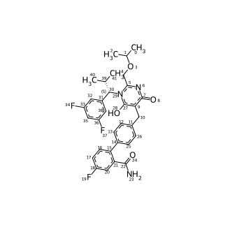 CC(C)OCc1nc(=O)c(Cc2ccc(-c3ccc(F)cc3C(N)=O)cc2)c(O)n1[C@H](c1cc(F)cc(F)c1)C(C)C